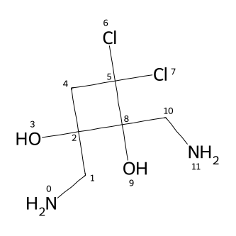 NCC1(O)CC(Cl)(Cl)C1(O)CN